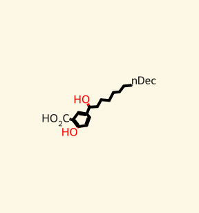 CCCCCCCCCCCCCCCCCC(O)c1ccc(O)c(C(=O)O)c1